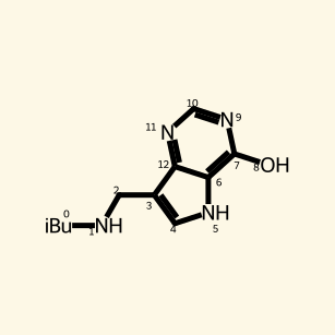 CCC(C)NCc1c[nH]c2c(O)ncnc12